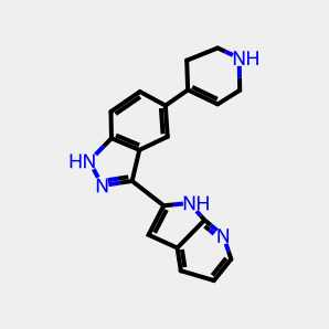 C1=C(c2ccc3[nH]nc(-c4cc5cccnc5[nH]4)c3c2)CCNC1